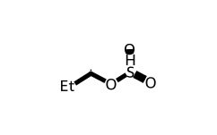 CC[CH]O[SH](=O)=O